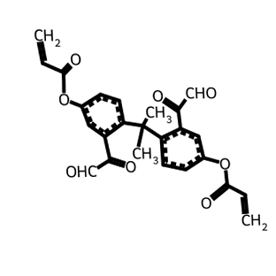 C=CC(=O)Oc1ccc(C(C)(C)c2ccc(OC(=O)C=C)cc2C(=O)C=O)c(C(=O)C=O)c1